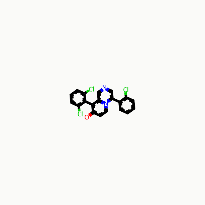 O=c1ccn2c(-c3ccccc3Cl)cncc2c1-c1c(Cl)cccc1Cl